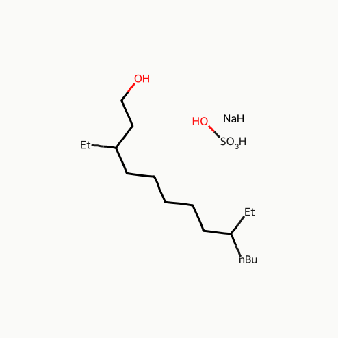 CCCCC(CC)CCCCCC(CC)CCO.O=S(=O)(O)O.[NaH]